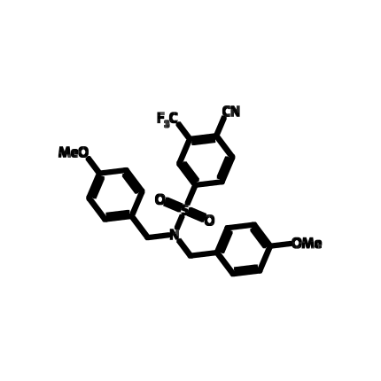 COc1ccc(CN(Cc2ccc(OC)cc2)S(=O)(=O)c2ccc(C#N)c(C(F)(F)F)c2)cc1